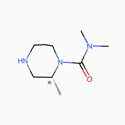 C[C@@H]1CNCCN1C(=O)N(C)C